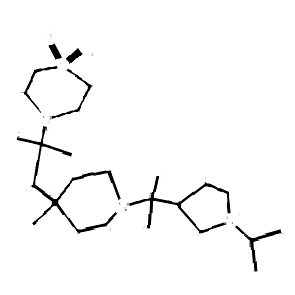 CC(C)N1CCC(C(C)(C)N2CCC(C)(CC(C)(C)N3CCS(=O)(=O)CC3)CC2)C1